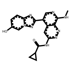 CNc1ncc(-c2nc3ccc(O)cn3n2)c2cc(NC(=O)C3CC3)nnc12